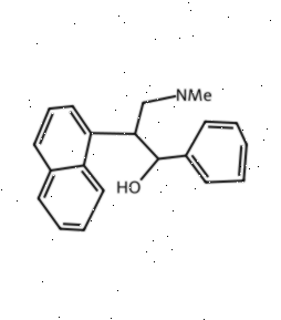 CNCC(c1cccc2ccccc12)C(O)c1ccccc1